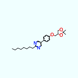 CCCCCCCCc1ncc(-c2ccc(OCC3COC(C)(C)O3)cc2)cn1